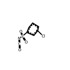 O=C=NS(=O)(=O)c1cccc(Cl)c1